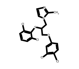 Cc1nccn1CC(COc1ccc(Cl)c(Cl)c1)Sc1c(Cl)cccc1Cl